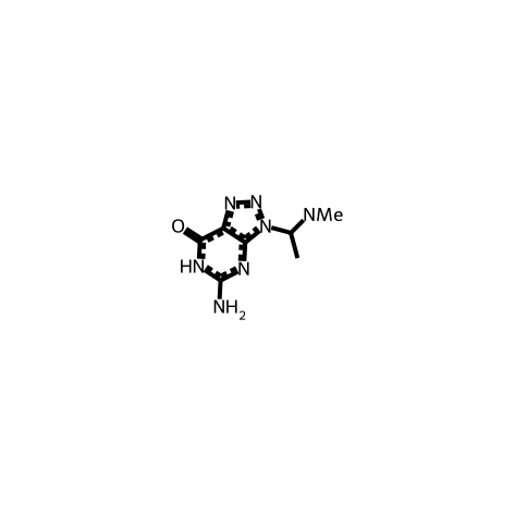 CNC(C)n1nnc2c(=O)[nH]c(N)nc21